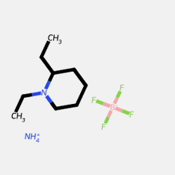 CCC1CCCCN1CC.F[B-](F)(F)F.[NH4+]